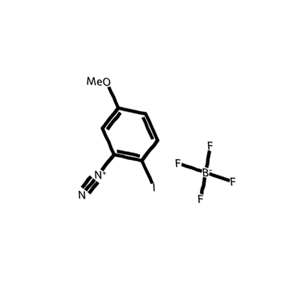 COc1ccc(I)c([N+]#N)c1.F[B-](F)(F)F